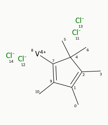 CC1=C(C)C(C)(C)[C]([V+4])=C1C.[Cl-].[Cl-].[Cl-].[Cl-]